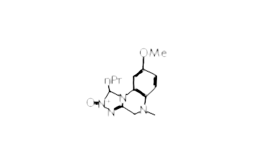 CCCC1N2C(=N[N+]1=O)CN(C)c1ccc(OC)cc12